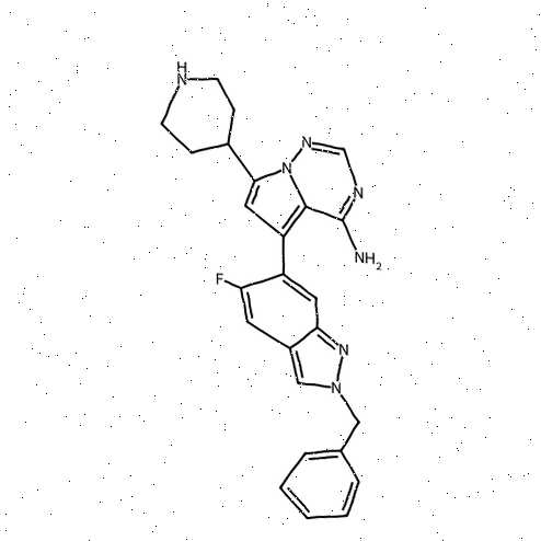 Nc1ncnn2c(C3CCNCC3)cc(-c3cc4nn(Cc5ccccc5)cc4cc3F)c12